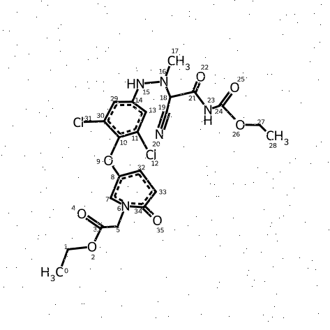 CCOC(=O)Cn1cc(Oc2c(Cl)cc(NN(C)C(C#N)C(=O)NC(=O)OCC)cc2Cl)ccc1=O